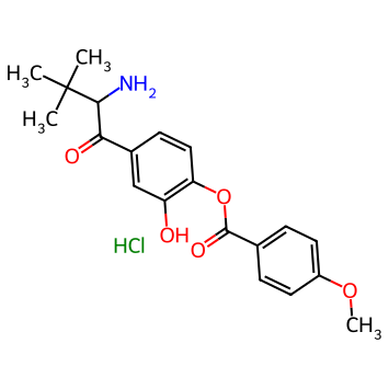 COc1ccc(C(=O)Oc2ccc(C(=O)C(N)C(C)(C)C)cc2O)cc1.Cl